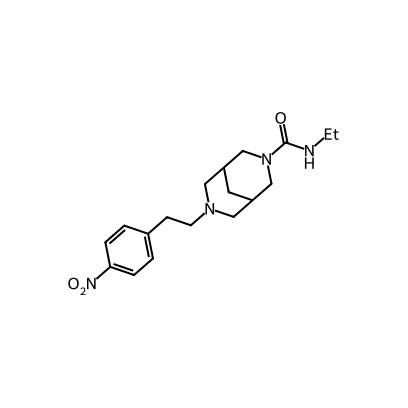 CCNC(=O)N1CC2CC(CN(CCc3ccc([N+](=O)[O-])cc3)C2)C1